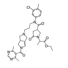 CCOC(=O)C(C)N1CC(C(=O)N(CCCN2CC3=CN(C(=O)c4c(C)ncnc4C)CC3C2)c2ccc(C)c(Cl)c2)CC1=O